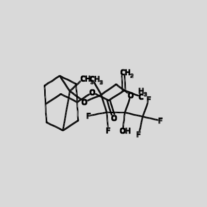 C=C(C)C(=O)OC12CC3CC(C1)C(C)(OC1(C)COC(O)(C(F)(F)F)C1(F)F)C(C3)C2